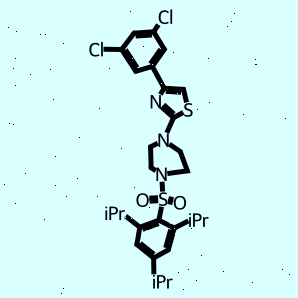 CC(C)c1cc(C(C)C)c(S(=O)(=O)N2CCN(c3nc(-c4cc(Cl)cc(Cl)c4)cs3)CC2)c(C(C)C)c1